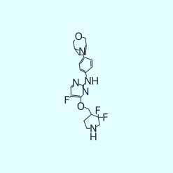 Fc1cnc(Nc2ccc(N3C4CCC3COC4)cc2)nc1OCC1CCNCC1(F)F